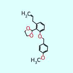 C=CCc1cccc(OCc2ccc(OC)cc2)c1C1OCCO1